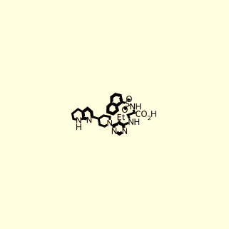 CCc1c(NCC(NS(=O)(=O)c2cccc3ccccc23)C(=O)O)ncnc1N1CCC(c2ccc3c(n2)NCCC3)CC1